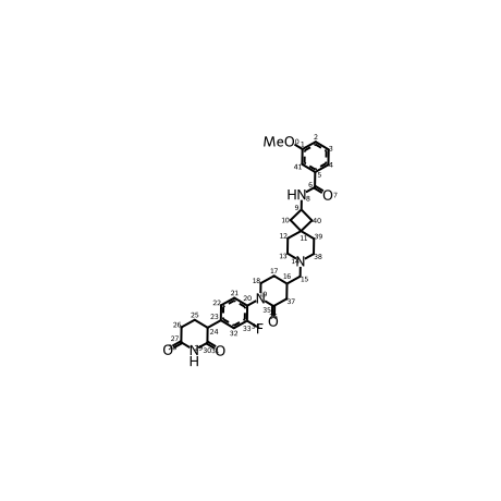 COc1cccc(C(=O)NC2CC3(CCN(CC4CCN(c5ccc(C6CCC(=O)NC6=O)cc5F)C(=O)C4)CC3)C2)c1